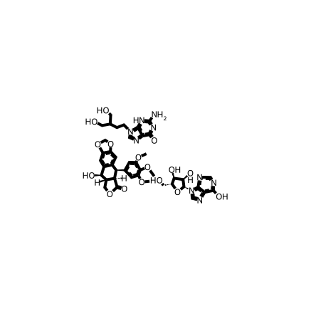 COc1cc([C@@H]2c3cc4c(cc3[C@H](O)[C@H]3COC(=O)[C@H]23)OCO4)cc(OC)c1OC.Nc1nc(=O)c2ncn(CCC(CO)CO)c2[nH]1.OC[C@H]1O[C@@H](n2cnc3c(O)ncnc32)[C@H](O)[C@@H]1O